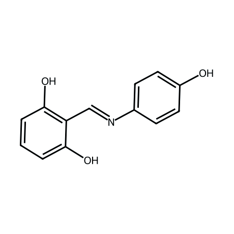 Oc1ccc(N=Cc2c(O)cccc2O)cc1